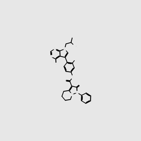 CC(O)Cn1cc(-c2ccc(NC(=O)c3c4n(n(-c5ccccc5)c3=O)CCCC4)cc2F)c2c(N)ncnc21